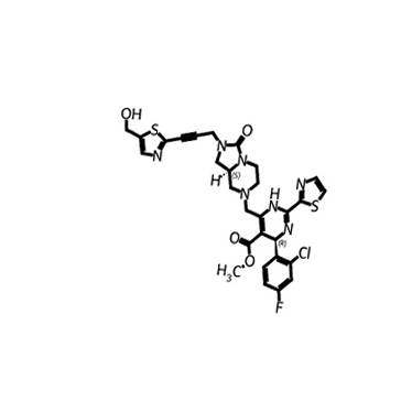 COC(=O)C1=C(CN2CCN3C(=O)N(CC#Cc4ncc(CO)s4)C[C@@H]3C2)NC(c2nccs2)=N[C@H]1c1ccc(F)cc1Cl